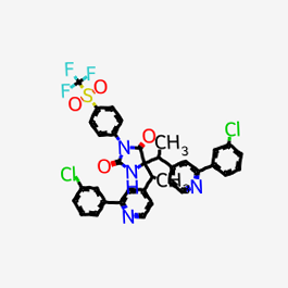 CC(c1ccnc(-c2cccc(Cl)c2)c1)C1(C(C)c2ccnc(-c3cccc(Cl)c3)c2)NC(=O)N(c2ccc(S(=O)(=O)C(F)(F)F)cc2)C1=O